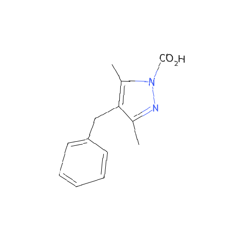 Cc1nn(C(=O)O)c(C)c1Cc1ccccc1